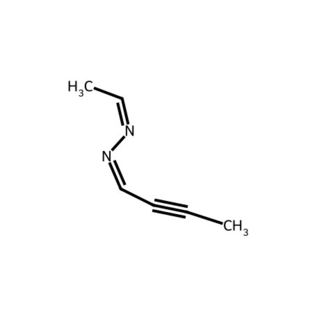 CC#C/C=N\N=C/C